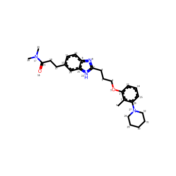 Cc1c(OCCCc2nc3ccc(CCC(=O)N(C)C)cc3[nH]2)cccc1N1CCCCC1